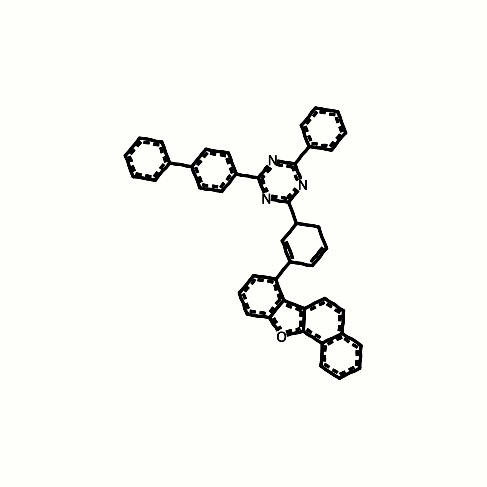 C1=CC(c2cccc3oc4c5ccccc5ccc4c23)=CC(c2nc(-c3ccccc3)nc(-c3ccc(-c4ccccc4)cc3)n2)C1